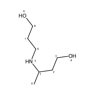 CC(CCO)NCCCO